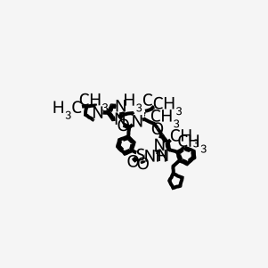 Cc1cccc(CC2CCCC2)c1-c1nc2nc(c1C)OC[C@@H](CC(C)(C)C)N(Cc1ncc(N3CCC(C)(C)C3)cn1)C(=O)c1cccc(c1)S(=O)(=O)N2